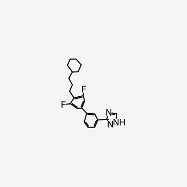 Fc1cc(-c2cccc(-c3nc[nH]n3)c2)cc(F)c1CCCC1CCCCC1